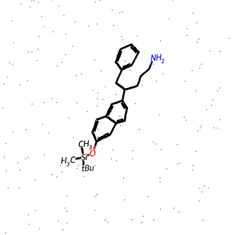 CC(C)(C)[Si](C)(C)Oc1ccc2cc(C(CCCN)Cc3ccccc3)ccc2c1